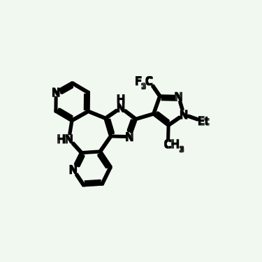 CCn1nc(C(F)(F)F)c(-c2nc3c([nH]2)-c2ccncc2Nc2ncccc2-3)c1C